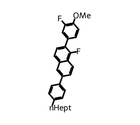 CCCCCCCc1ccc(-c2ccc3c(F)c(-c4ccc(OC)c(F)c4)ccc3c2)cc1